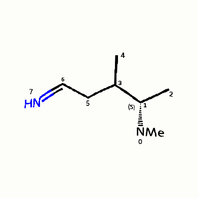 CN[C@@H](C)C(C)CC=N